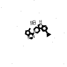 CC1CCc2ncnc(N3CCC4(CC3)CNc3ccc(C5CC5)cc34)c21.Cl.Cl